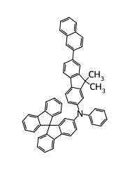 CC1(C)c2cc(-c3ccc4ccccc4c3)ccc2-c2ccc(N(c3ccccc3)c3ccc4c(c3)C3(c5ccccc5-c5ccccc53)c3ccccc3-4)cc21